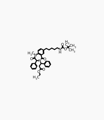 CCOC(=O)CC(c1ccccc1)N1C(=O)c2cc(CCCCCNC(=O)OC(C)(C)C)ccc2N(C)C(=O)C1c1ccccc1